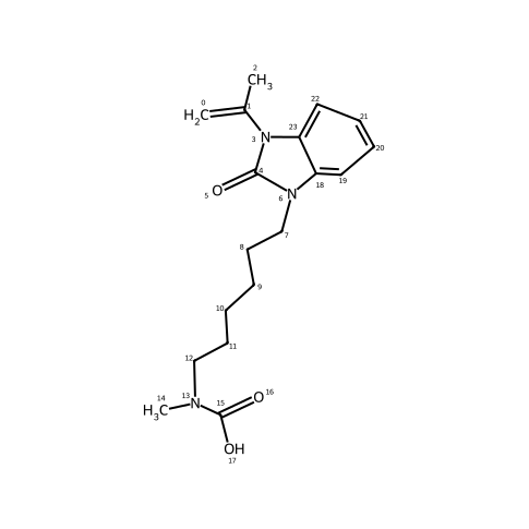 C=C(C)n1c(=O)n(CCCCCCN(C)C(=O)O)c2ccccc21